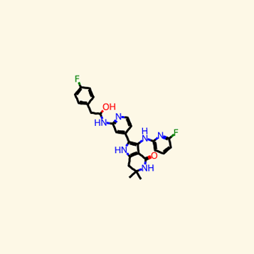 CC1(C)Cc2[nH]c(-c3ccnc(NC(O)Cc4ccc(F)cc4)c3)c(Nc3cccc(F)n3)c2C(=O)N1